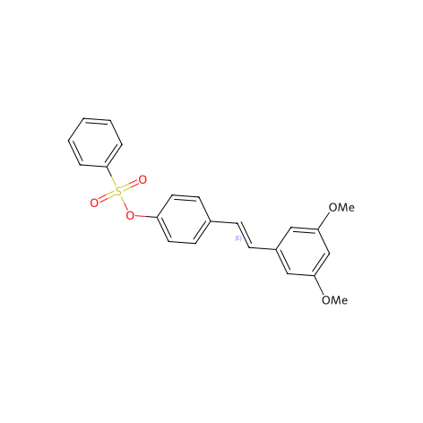 COc1cc(/C=C/c2ccc(OS(=O)(=O)c3ccccc3)cc2)cc(OC)c1